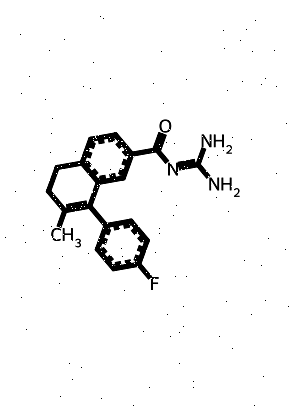 CC1=C(c2ccc(F)cc2)c2cc(C(=O)N=C(N)N)ccc2CC1